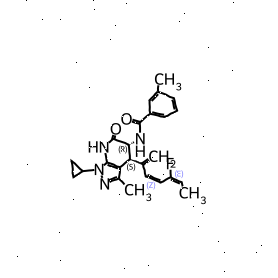 C=C(/C=C\C(F)=C/C)[C@H]1c2c(C)nn(C3CC3)c2NC(=O)[C@@H]1NC(=O)c1cccc(C)c1